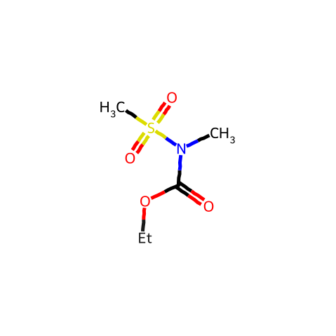 CCOC(=O)N(C)S(C)(=O)=O